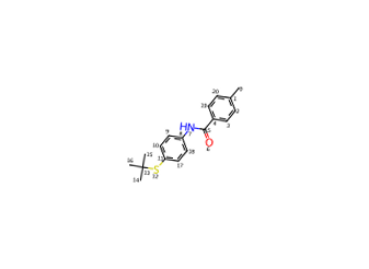 Cc1ccc(C(=O)Nc2ccc(SC(C)(C)C)cc2)cc1